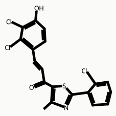 Cc1nc(-c2ccccc2Cl)sc1C(=O)C=Cc1ccc(O)c(Cl)c1Cl